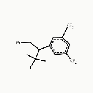 CC(C)CC(c1cc(C(F)(F)F)cc(C(F)(F)F)c1)C(C)(C)I